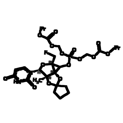 CC(C)OC(=O)OCOP(=O)(OCOC(=O)OC(C)C)OC1[C@]23OC4(CCCC4)O[C@@]2(C)[C@H](n2ccc(=O)[nH]c2=O)O[C@]13CF